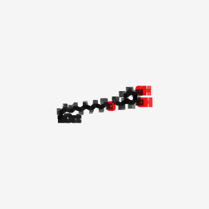 CCCCCCCC/C=C\CCCCCCCCOCCc1ccc(O)c(O)c1